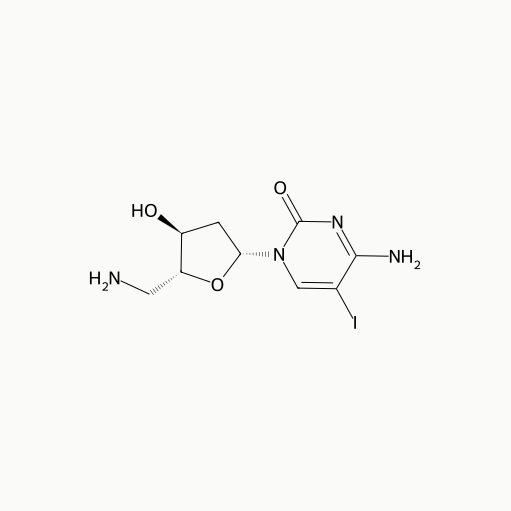 NC[C@H]1O[C@@H](n2cc(I)c(N)nc2=O)C[C@@H]1O